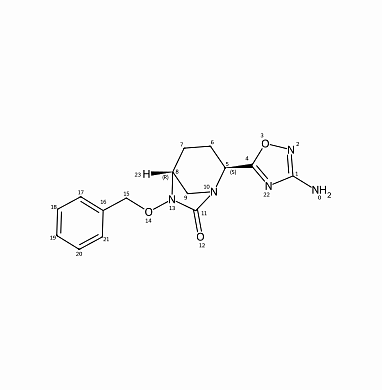 Nc1noc([C@@H]2CC[C@@H]3CN2C(=O)N3OCc2ccccc2)n1